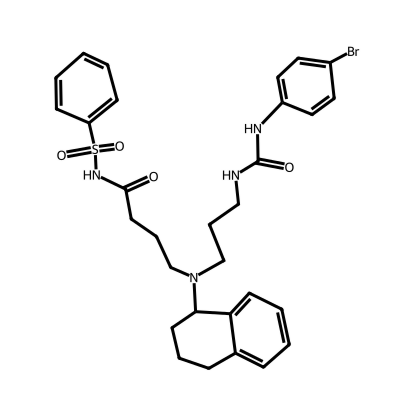 O=C(CCCN(CCCNC(=O)Nc1ccc(Br)cc1)C1CCCc2ccccc21)NS(=O)(=O)c1ccccc1